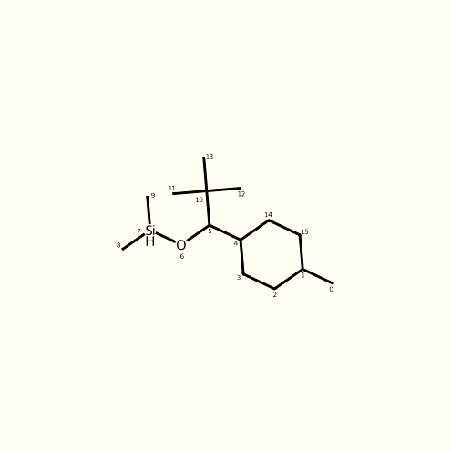 CC1CCC(C(O[SiH](C)C)C(C)(C)C)CC1